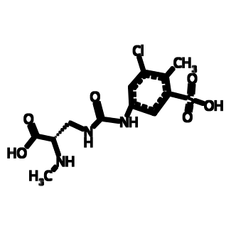 CN[C@@H](CNC(=O)Nc1cc(Cl)c(C)c(S(=O)(=O)O)c1)C(=O)O